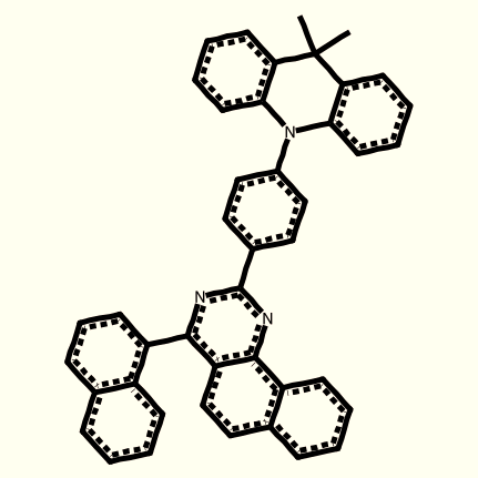 CC1(C)c2ccccc2N(c2ccc(-c3nc(-c4cccc5ccccc45)c4ccc5ccccc5c4n3)cc2)c2ccccc21